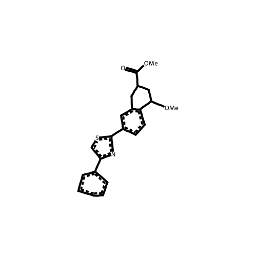 COC(=O)C1Cc2cc(-c3nc(-c4ccccc4)cs3)ccc2C(OC)C1